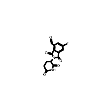 O=Cc1cc(F)cc2c1C(=O)N(C1CCC(=O)NC1=O)C2=O